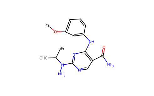 CCOc1cccc(Nc2nc(N(N)C(C=O)C(C)C)ncc2C(N)=O)c1